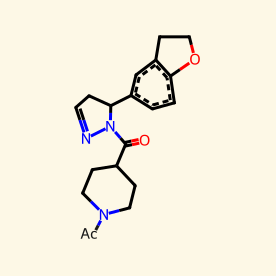 CC(=O)N1CCC(C(=O)N2N=CCC2c2ccc3c(c2)CCO3)CC1